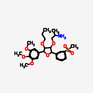 CCCOC1C(c2cc(OC)c(OC)c(OC)c2)OC(c2cccc(S(C)(=O)=O)c2)C1OCC(C)N